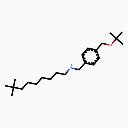 CC(C)(C)CCCCCCCNCc1ccc(COC(C)(C)C)cc1